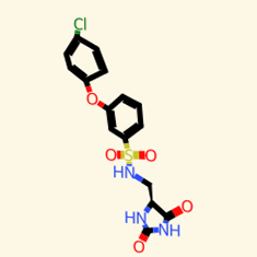 O=C1NC(=O)[C@H](CNS(=O)(=O)c2cccc(Oc3ccc(Cl)cc3)c2)N1